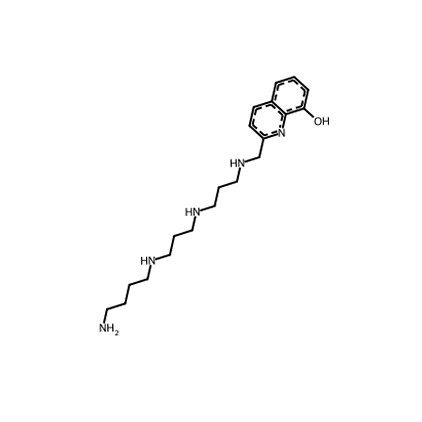 NCCCCNCCCNCCCNCc1ccc2cccc(O)c2n1